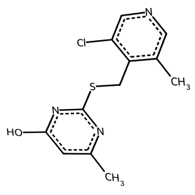 Cc1cc(O)nc(SCc2c(C)cncc2Cl)n1